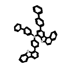 c1ccc(-c2ccc(-c3cc(N(c4ccc(-c5ccccc5)cc4)c4ccc(-c5cccc6c5oc5ccccc56)cc4)c4oc5ccc6ccccc6c5c4c3)cc2)cc1